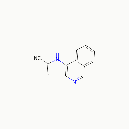 [CH2]C(C#N)Nc1cncc2ccccc12